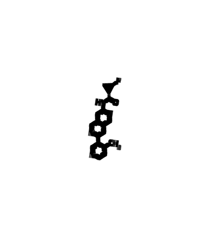 Cc1ccncc1-c1cc2cnc(NC(=O)[C@@H]3C[C@H]3F)cc2cn1